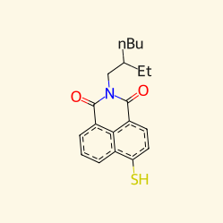 CCCCC(CC)CN1C(=O)c2cccc3c(S)ccc(c23)C1=O